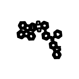 C1=CCCC(N(c2cccc(-c3cccc4c3OC3=C[C@H]5C(C=C3O4)c3ccccc3C53c4ccccc4-c4ccccc43)c2)c2ccc3c(c2)sc2ccccc23)=C1